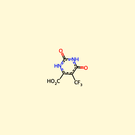 O=C(O)c1[nH]c(=O)[nH]c(=O)c1C(F)(F)F